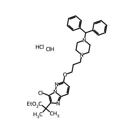 CCOC(=O)C(C)(C)c1nc2ccc(OCCCN3CCN(C(c4ccccc4)c4ccccc4)CC3)nn2c1Cl.Cl.Cl